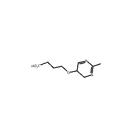 CC1=NCC(OCCCC(=O)O)C=N1